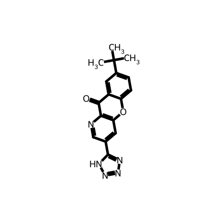 CC(C)(C)c1ccc2oc3cc(-c4nnn[nH]4)cnc3c(=O)c2c1